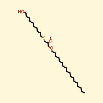 CCCCCCCCCCCCCCCCCCOCC(CSCCCCCCCCCCO)OC